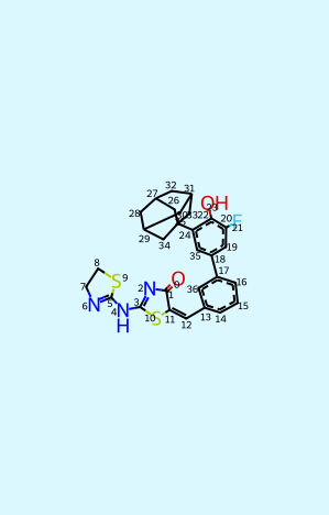 O=C1N=C(NC2=NCCS2)SC1=Cc1cccc(-c2cc(F)c(O)c(C34CC5CC(CC(C5)C3)C4)c2)c1